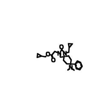 CN(C)[C@]1(c2ccccc2)CC[C@@]2(CC1)CN(CC(=O)OCC1CC1)C(=O)N2CC1CC1